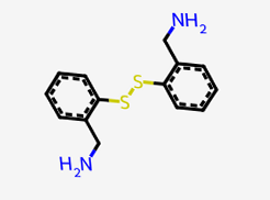 NCc1ccccc1SSc1ccccc1CN